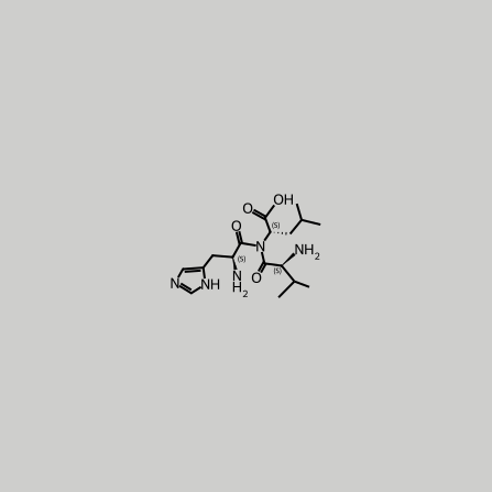 CC(C)C[C@@H](C(=O)O)N(C(=O)[C@@H](N)C(C)C)C(=O)[C@@H](N)Cc1cnc[nH]1